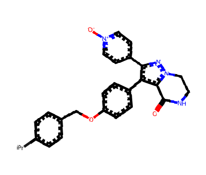 CC(C)c1ccc(COc2ccc(-c3c(-c4cc[n+]([O-])cc4)nn4c3C(=O)NCC4)cc2)cc1